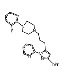 CCCc1cc(CCCN2CCN(c3ccccc3F)CC2)n(-c2ccccn2)n1